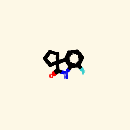 O=C1Nc2c(F)cccc2C12CCCC2